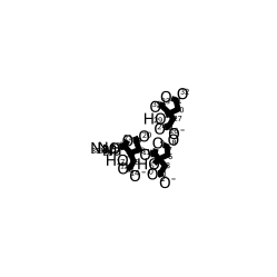 O=C([O-])CC1(O)CC(=O)OC1=O.O=C([O-])CC1(O)CC(=O)OC1=O.O=C([O-])CC1(O)CC(=O)OC1=O.[Na+].[Na+].[Na+]